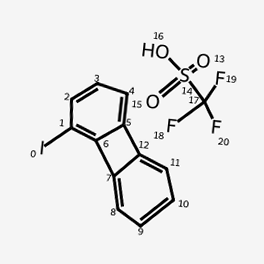 Ic1cccc2c1-c1ccccc1-2.O=S(=O)(O)C(F)(F)F